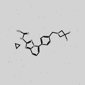 C1CC1.O=C(O)Nc1nc2cccc(-c3ccc(CN4CC(F)(F)C4)cc3)n2n1